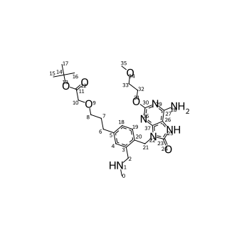 CNCc1cc(CCCOCC(=O)OC(C)(C)C)ccc1Cn1c(=O)[nH]c2c(N)nc(OCCOC)nc21